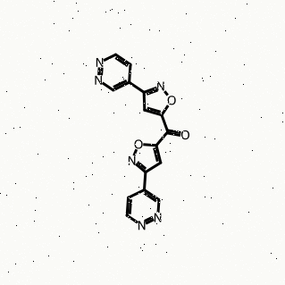 O=C(c1cc(-c2ccnnc2)no1)c1cc(-c2ccnnc2)no1